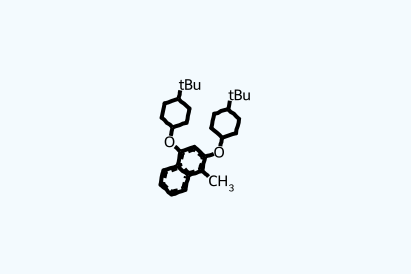 Cc1c(OC2CCC(C(C)(C)C)CC2)cc(OC2CCC(C(C)(C)C)CC2)c2ccccc12